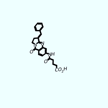 O=C(O)CCCC(=O)Nc1ccc2c(=O)n3c(nc2c1)/C(=C/c1ccccc1)CC3